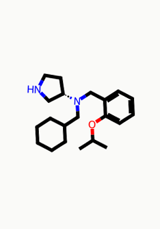 CC(C)Oc1ccccc1CN(CC1CCCCC1)[C@H]1CCNC1